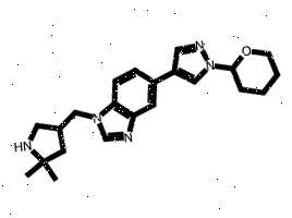 CC1(C)CC(Cn2cnc3cc(-c4cnn(C5CCCCO5)c4)ccc32)CN1